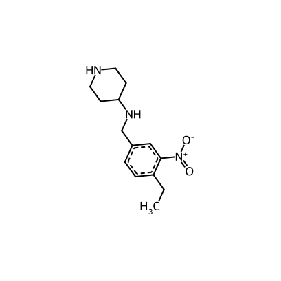 CCc1ccc(CNC2CCNCC2)cc1[N+](=O)[O-]